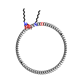 CCCCCCCCN1CCOCCCCCCCCCCCCCCCCCCCCCCCCCCCCCCCCCCCCCCCCCCCCCCCCCCCCCCCCCCCCCCC[CH2][Sn]2([O]CC1)[O]CCN(CCCCCCCC)CC[O]2